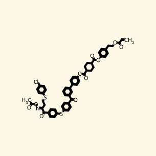 C=CC(=O)OCCc1ccc(OC(=O)C2CCC(C(=O)Oc3ccc(-c4cccc(C(=O)c5ccc(Sc6ccc(C(=O)/C(CCSc7ccc(Cl)cc7)=N/OC(C)=O)cc6)cc5)c4)cc3)CC2)cc1